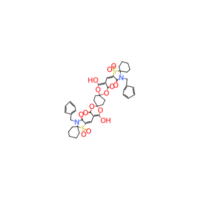 O=C1OC2(CCC3(CC2)OC(=O)C(/C=C2\C(=O)N(Cc4ccccc4)C4(CCCCC4)S2(=O)=O)=C(O)O3)OC(O)=C1/C=C1\C(=O)N(Cc2ccccc2)C2(CCCCC2)S1(=O)=O